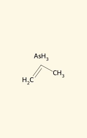 C=CC.[AsH3]